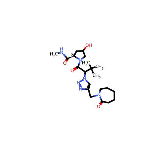 CNC(=O)[C@H]1CC(O)CN1C(=O)C(n1cc(CN2CCCCCC2=O)nn1)C(C)(C)C